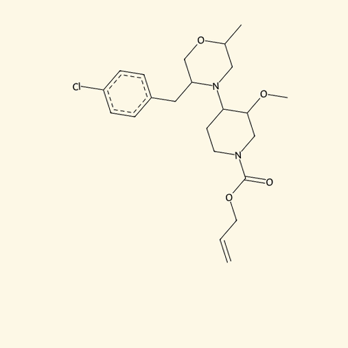 C=CCOC(=O)N1CCC(N2CC(C)OCC2Cc2ccc(Cl)cc2)C(OC)C1